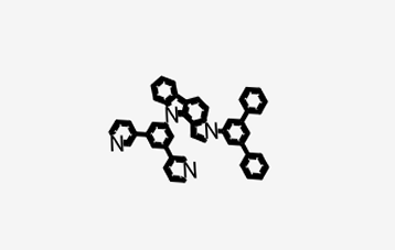 c1ccc(-c2cc(-c3ccccc3)cc(-n3ccc4c3ccc3c5ccccc5n(-c5cc(-c6cccnc6)cc(-c6cccnc6)c5)c34)c2)cc1